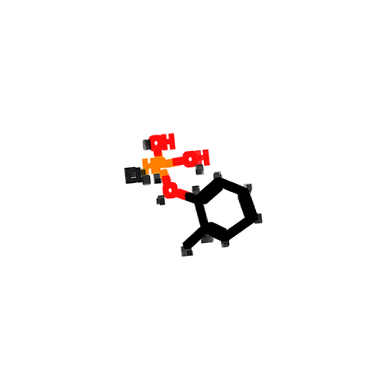 CC[PH](O)(O)Oc1ccccc1C